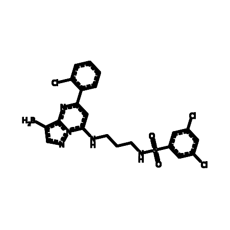 Bc1cnn2c(NCCCNS(=O)(=O)c3cc(Cl)cc(Cl)c3)cc(-c3ccccc3Cl)nc12